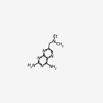 CCN(C)Cc1cnc2c(N)nc(N)nc2n1